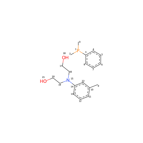 CP(C)c1ccccc1.Cc1cccc(N(CCO)CCO)c1